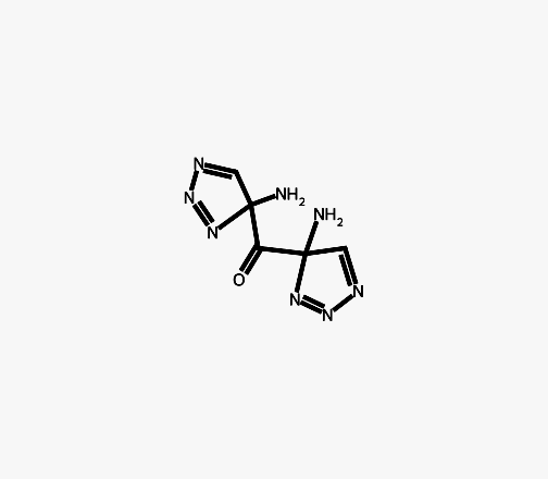 NC1(C(=O)C2(N)C=NN=N2)C=NN=N1